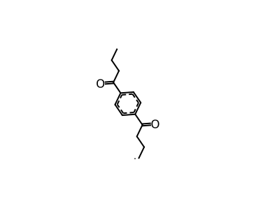 [CH2]CCC(=O)c1ccc(C(=O)CCC)cc1